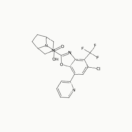 O=C(O)N1C2CCC1CN(c1nc3c(C(F)(F)F)c(Cl)cc(-c4ccccn4)c3o1)C2